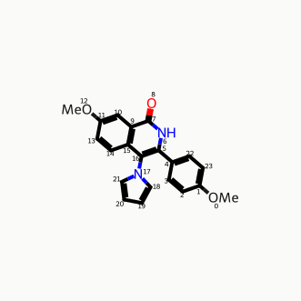 COc1ccc(-c2[nH]c(=O)c3cc(OC)ccc3c2-n2cccc2)cc1